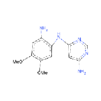 COc1cc(N)c(Nc2cc(N)ncn2)cc1OC